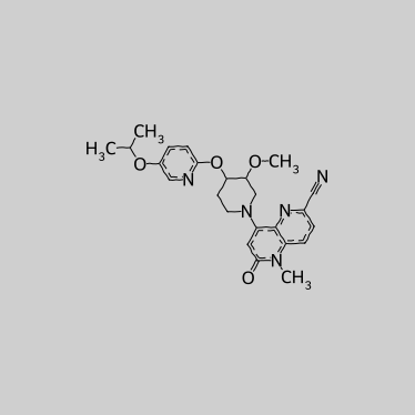 COC1CN(c2cc(=O)n(C)c3ccc(C#N)nc23)CCC1Oc1ccc(OC(C)C)cn1